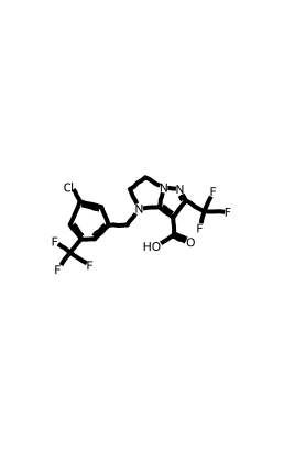 O=C(O)c1c(C(F)(F)F)nn2c1N(Cc1cc(Cl)cc(C(F)(F)F)c1)CC2